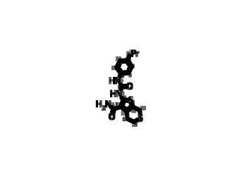 CC(C)c1ccc(NC(=O)Nc2sc3c(c2C(N)=O)CCSC3)cc1